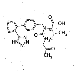 CC(=O)CCC(=O)N(Cc1ccc(-c2ccccc2-c2nnn[nH]2)cc1)[C@H](C(=O)O)C(C)C